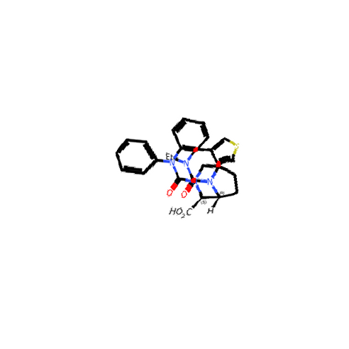 CCN(Cc1ccsc1)C(=O)N1C2CC[C@@H]1[C@@H](C(=O)O)N(C(=O)N(c1ccccc1)c1ccccc1)C2